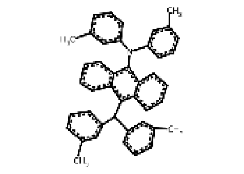 Cc1cccc(C(c2cccc(C)c2)c2c3ccccc3c(N(c3cccc(C)c3)c3cccc(C)c3)c3ccccc23)c1